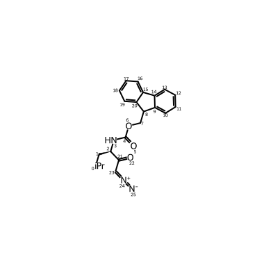 CC(C)C[C@@H](NC(=O)OCC1c2ccccc2-c2ccccc21)C(=O)C=[N+]=[N-]